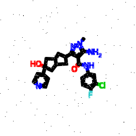 Cn1nc(C2CC3CC(O)(c4ccncc4)CC3C2)c(C(=O)Nc2ccc(F)c(Cl)c2)c1N